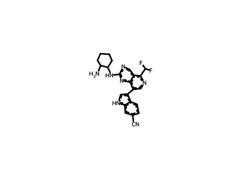 N#Cc1ccc2c(-c3cnc(C(F)F)c4cnc(NC5CCCCC5N)nc34)c[nH]c2c1